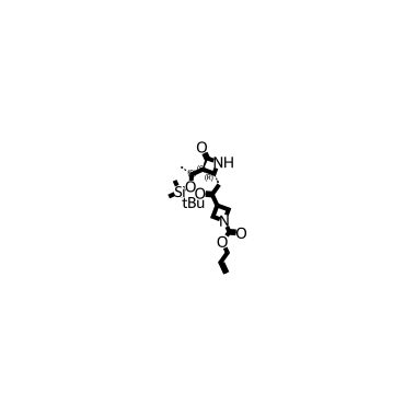 C=CCOC(=O)N1CC(C(=O)C[C@H]2NC(=O)[C@@H]2[C@@H](C)O[Si](C)(C)C(C)(C)C)C1